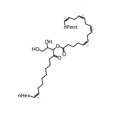 CCCCC/C=C\C/C=C\C/C=C\C/C=C\CCCC(=O)OC(C(=O)CCCCCCC/C=C\CCCCCC)C(O)CO